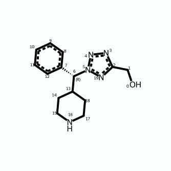 OCc1nnn([C@@H](c2ccccc2)C2CCNCC2)n1